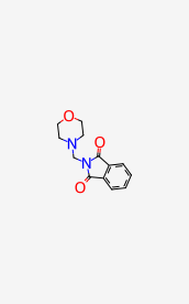 O=C1c2ccccc2C(=O)N1CN1CCOCC1